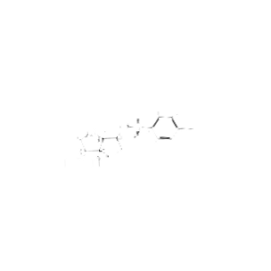 Cc1ccc(S(=O)(=O)O[C@H]2CO[C@H]3[C@H]2OC[C@H]3O)cc1